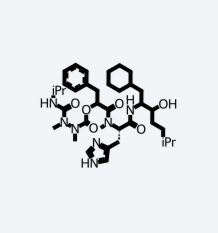 CC(C)CCC(O)C(CC1CCCCC1)NC(=O)[C@H](Cc1c[nH]cn1)N(C)C(=O)C(Cc1ccccc1)OC(=O)N(C)N(C)C(=O)NC(C)C